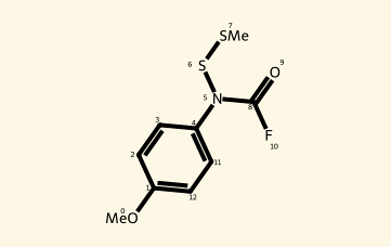 COc1ccc(N(SSC)C(=O)F)cc1